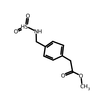 COC(=O)Cc1ccc(CN[SH](=O)=O)cc1